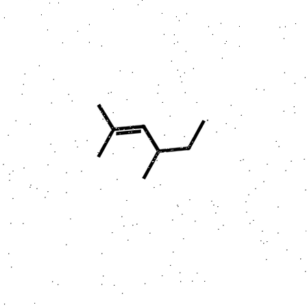 [CH2]CC(C)C=C(C)C